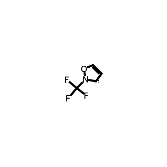 FC(F)(F)N1[C]C=CO1